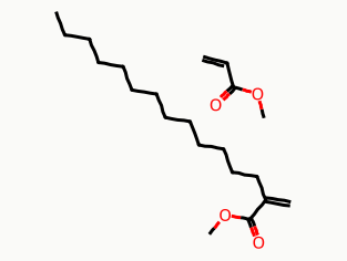 C=C(CCCCCCCCCCCCC)C(=O)OC.C=CC(=O)OC